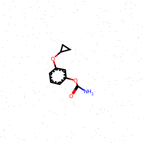 NC(=O)Oc1cccc(OC2CC2)c1